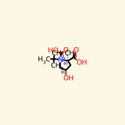 CC(C)(C)[N+]1(C(=O)O)C[C@H](O)C[C@]1(C)C(=O)O